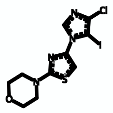 Clc1ncn(-c2csc(N3CCOCC3)n2)c1I